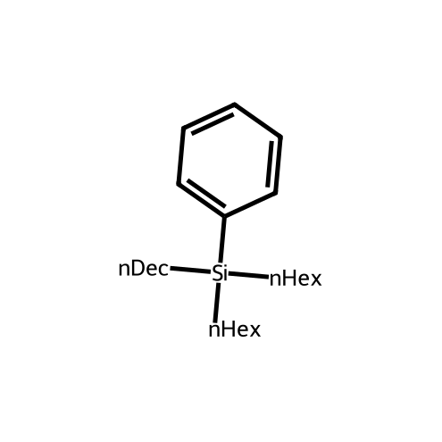 CCCCCCCCCC[Si](CCCCCC)(CCCCCC)c1ccccc1